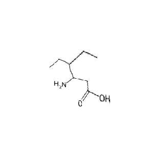 CCC(CC)C(N)CC(=O)O